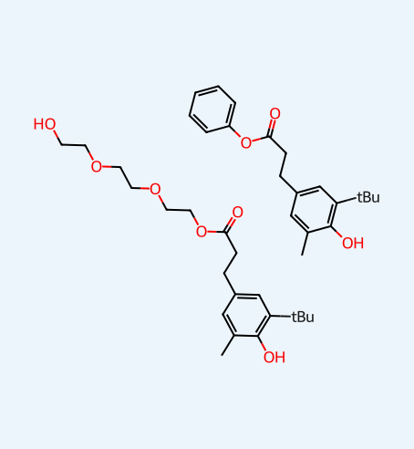 Cc1cc(CCC(=O)OCCOCCOCCO)cc(C(C)(C)C)c1O.Cc1cc(CCC(=O)Oc2ccccc2)cc(C(C)(C)C)c1O